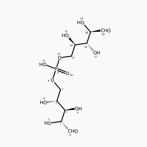 O=C[C@H](O)[C@H](O)[C@H](O)COP(=O)(O)OC[C@@H](O)[C@@H](O)[C@@H](O)C=O